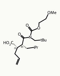 C=CC[C@H](C(=O)O)[C@@H](CC(C)C)C(=O)N(CC(C)(C)C)C(=O)OCCOC